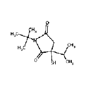 CC(C)C1(S)CC(=O)N(C(C)(C)C)C1=O